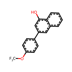 Oc1cc(-c2ccc(OC(F)(F)F)cc2)cc2ccccc12